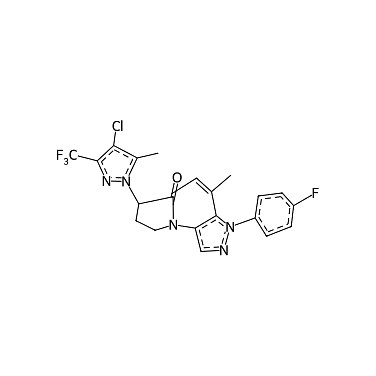 C/C=C(/C)c1c(N2CCC(n3nc(C(F)(F)F)c(Cl)c3C)C2=O)cnn1-c1ccc(F)cc1